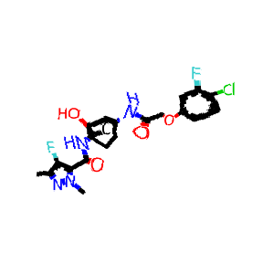 Cc1nn(C)c(C(=O)NC23CCC(NC(=O)COc4ccc(Cl)c(F)c4)(CC2)CC3O)c1F